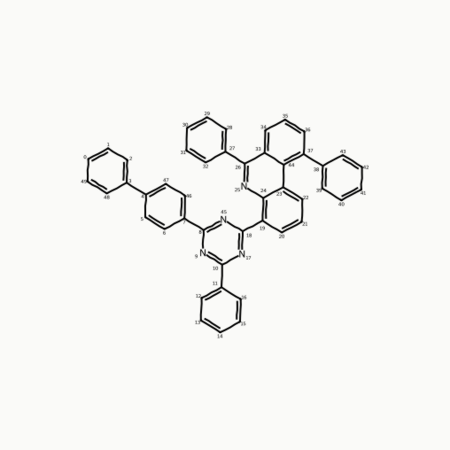 c1ccc(-c2ccc(-c3nc(-c4ccccc4)nc(-c4cccc5c4nc(-c4ccccc4)c4cccc(-c6ccccc6)c45)n3)cc2)cc1